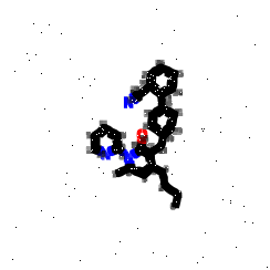 CCCCc1cc(C)n(-c2ccccn2)c(=O)c1Cc1ccc(-c2ccccc2C#N)cc1